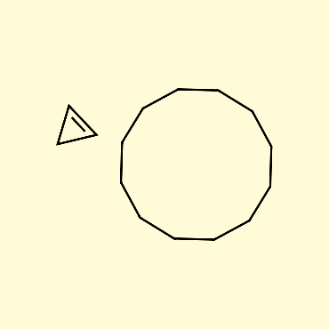 C1=CC1.C1CCCCCCCCCCC1